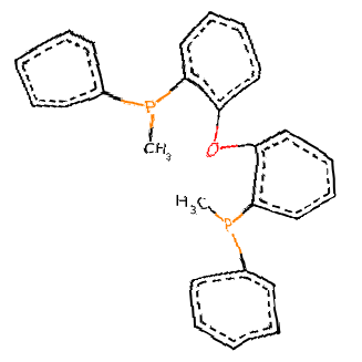 CP(c1ccccc1)c1ccccc1Oc1ccccc1P(C)c1ccccc1